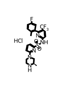 Cc1ccc(F)cc1-c1nc(NS(=O)(=O)c2cccc(N3CCN[C@H](C)C3)n2)ccc1C(F)(F)F.Cl